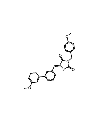 COC1=CCCC(c2cccc(/C=C3\SC(=O)N(Cc4ccc(OC)cc4)C3=O)c2)=C1